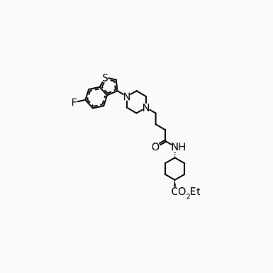 CCOC(=O)[C@H]1CC[C@H](NC(=O)CCCN2CCN(c3csc4cc(F)ccc34)CC2)CC1